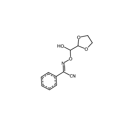 N#CC(=NOC(O)C1OCCO1)c1ccccc1